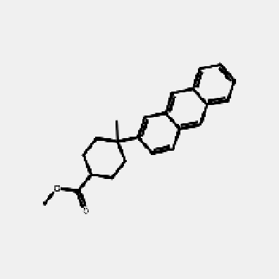 COC(=O)C1CCC(C)(c2ccc3cc4ccccc4cc3c2)CC1